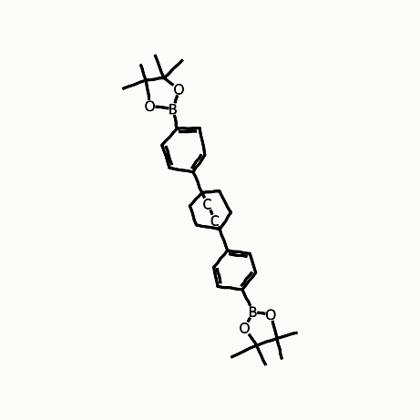 CC1(C)OB(c2ccc(C34CCC(c5ccc(B6OC(C)(C)C(C)(C)O6)cc5)(CC3)CC4)cc2)OC1(C)C